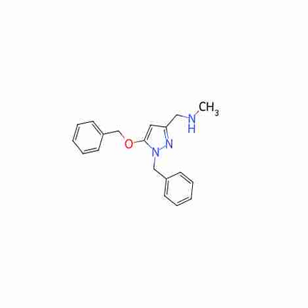 CNCc1cc(OCc2ccccc2)n(Cc2ccccc2)n1